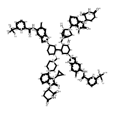 Cc1cc2nn([C@@H]3CC[C@@H](CN4CCN(c5cccc6c5n(C5CC5)c(=O)n6C5CCC(=O)NC5=O)CC4)C(C4C[C@H](n5cc6cc(NC(=O)c7cccc(C(F)(F)F)n7)c(C)cc6n5)CC[C@H]4CN4C[C@@H]5C[C@H]4CN5c4cccc5c4n(C)c(=O)n5C4CCC(=O)NC4=O)C3)cc2cc1NC(=O)c1cccc(C(F)(F)F)n1